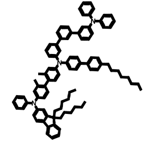 CCCCCCCCc1ccc(-c2ccc(N(c3cccc(-c4cccc(-c5cccc(N(c6ccccc6)c6ccccc6)c5)c4)c3)c3ccc(-c4ccc(N(c5ccccc5)c5ccc6c(c5)C(CCCCCC)(CCCCCC)c5ccccc5-6)cc4C)c(C)c3)cc2)cc1